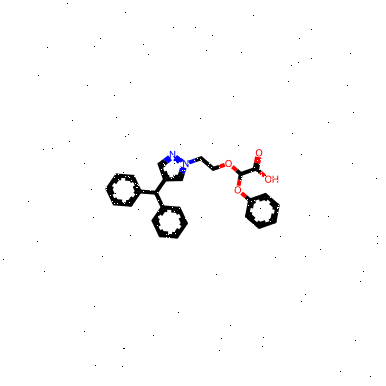 O=C(O)C(OCCn1cc(C(c2ccccc2)c2ccccc2)cn1)Oc1ccccc1